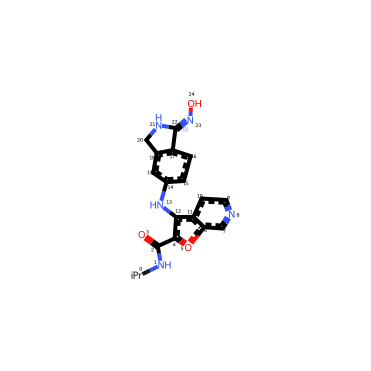 CC(C)NC(=O)c1oc2cnccc2c1Nc1ccc2c(c1)CN/C2=N\O